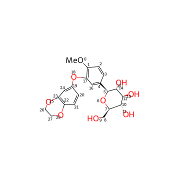 COc1ccc([C@@H]2O[C@H](CO)[C@@H](O)[C@H](O)[C@H]2O)cc1Oc1ccc2c(c1)OCCO2